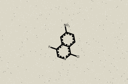 O=[N+]([O-])c1ccc2c(Cl)ncc(F)c2c1